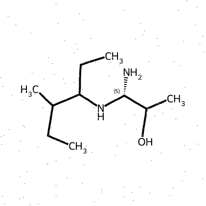 CCC(C)C(CC)N[C@H](N)C(C)O